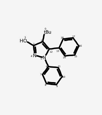 CC(C)(C)c1c(O)nn(-c2ccccc2)c1-c1ccccc1